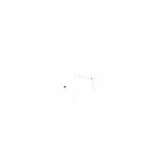 C[C](O)CC(F)(F)F